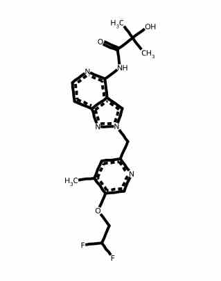 Cc1cc(Cn2cc3c(NC(=O)C(C)(C)O)nccc3n2)ncc1OCC(F)F